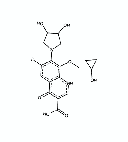 COc1c(N2CC(O)C(O)C2)c(F)cc2c(=O)c(C(=O)O)c[nH]c12.OC1CC1